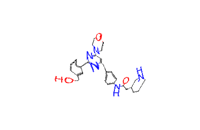 O=C(C[C@@H]1CCCNC1)Nc1ccc(-c2cc(N3CCOCC3)nc(-c3cccc(CO)c3)n2)cc1